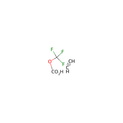 C#C.O=C(O)OC(F)(F)F